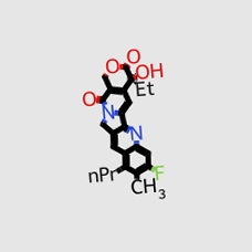 CCCc1c(C)c(F)cc2nc3c(cc12)Cn1c-3cc2c(c1=O)COC(=O)[C@]2(O)CC